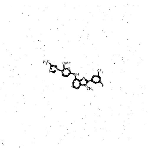 COc1nc(Nc2cccc3c2nc(-c2cc(F)cc(C(F)(F)F)c2)n3C)ccc1-n1cnc(C)c1